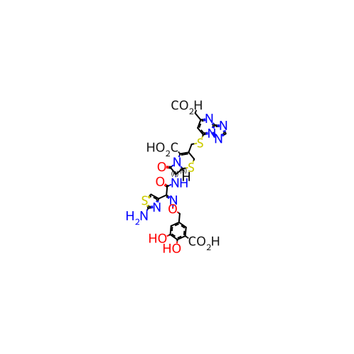 Nc1nc(C(=NOCc2cc(O)c(O)c(C(=O)O)c2)C(=O)N[C@@H]2C(=O)N3C(C(=O)O)=C(CSc4cc(CC(=O)O)nc5ncnn45)CS[C@H]23)cs1